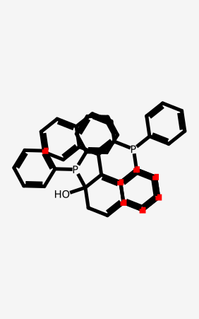 OC1(P(c2ccccc2)c2ccccc2)CC=c2ccccc2=C1c1c(P(c2ccccc2)c2ccccc2)ccc2ccccc12